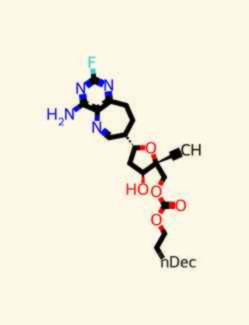 C#C[C@]1(COC(=O)OCCCCCCCCCCCC)O[C@@H](C2C=Nc3c(N)nc(F)nc3CC2)C[C@@H]1O